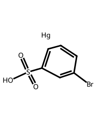 O=S(=O)(O)c1cccc(Br)c1.[Hg]